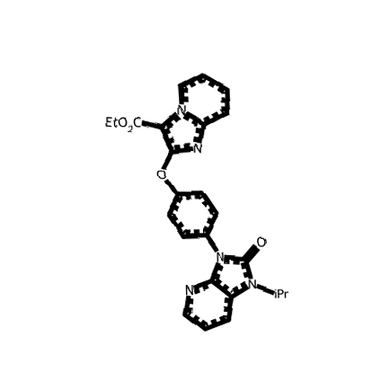 CCOC(=O)c1c(Oc2ccc(-n3c(=O)n(C(C)C)c4cccnc43)cc2)nc2ccccn12